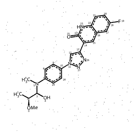 CO[C@@H](C)C(O)N(C)c1ccc(-n2cc(-c3cc4cc(F)ccc4[nH]c3=O)nn2)cc1